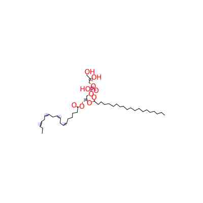 CC/C=C\C/C=C\C/C=C\C/C=C\CCCCC(=O)OC[C@H](COP(=O)(O)OC[C@@H](O)CO)OC(=O)CCCCCCCCCCCCCCCCCCC